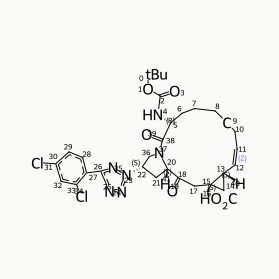 CC(C)(C)OC(=O)N[C@@H]1CCCCC/C=C\[C@@H]2C[C@]2(C(=O)O)CC(=O)[C@@H]2C[C@H](n3nnc(-c4ccc(Cl)cc4Cl)n3)CN2C1=O